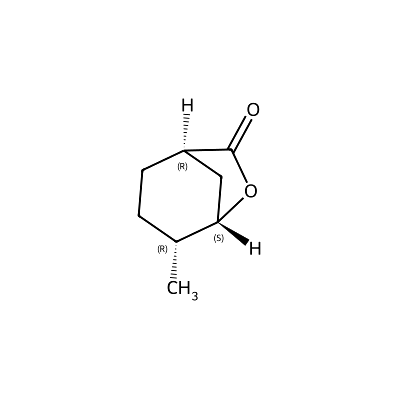 C[C@@H]1CC[C@@H]2C[C@@H]1OC2=O